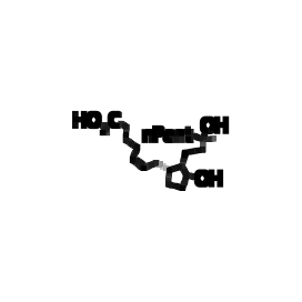 CCCCCC(C)(O)CC[C@@H]1[C@@H](C/C=C\CCCC(=O)O)CC[C@@H]1O